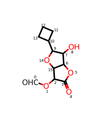 O=COC1C(=O)OC2C(O)C(C3CCC3)OC12